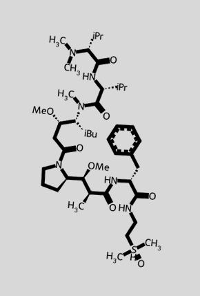 CC[C@@H](C)[C@H]([C@H](CC(=O)N1CCC[C@@H]1[C@@H](OC)[C@H](C)C(=O)N[C@H](Cc1ccccc1)C(=O)NCC[SH](C)(C)=O)OC)N(C)C(=O)[C@H](NC(=O)[C@@H](C(C)C)N(C)C)C(C)C